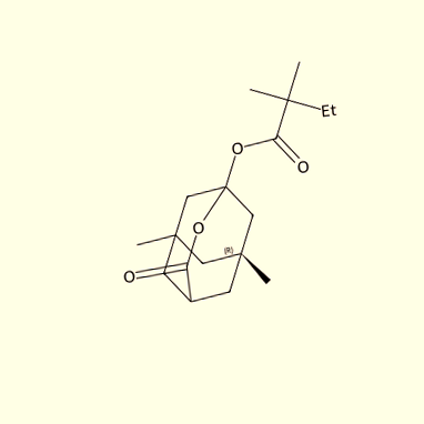 CCC(C)(C)C(=O)OC12CC3(C)CC(C[C@](C)(C3)C1)C(=O)O2